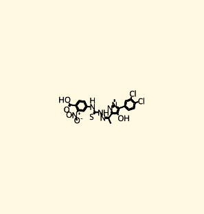 C/C(=N/NC(=S)Nc1ccc(C(=O)O)c([N+](=O)[O-])c1)c1nn(C)c(-c2ccc(Cl)c(Cl)c2)c1O